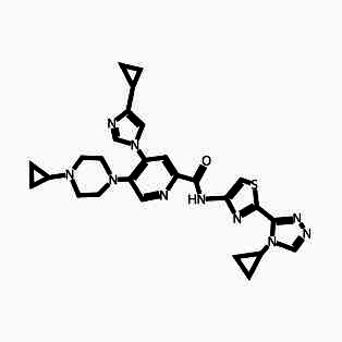 O=C(Nc1csc(-c2nncn2C2CC2)n1)c1cc(-n2cnc(C3CC3)c2)c(N2CCN(C3CC3)CC2)cn1